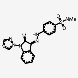 CNS(=O)(=O)c1ccc(NN=C2C(=O)N(n3cncn3)c3ccccc32)cc1